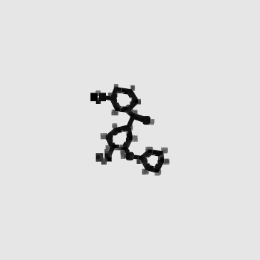 Nc1cccc(C(=O)c2ccc(N)c(Oc3ccccc3)c2)c1